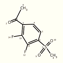 CC(=O)c1ccc(S(C)(=O)=O)c(F)c1F